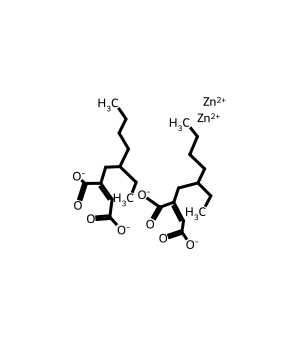 CCCCC(CC)CC(=CC(=O)[O-])C(=O)[O-].CCCCC(CC)CC(=CC(=O)[O-])C(=O)[O-].[Zn+2].[Zn+2]